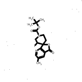 Cc1cnc2c(c1)C(=O)OC21CCN(C(=O)OC(C)(C)C)CC1I